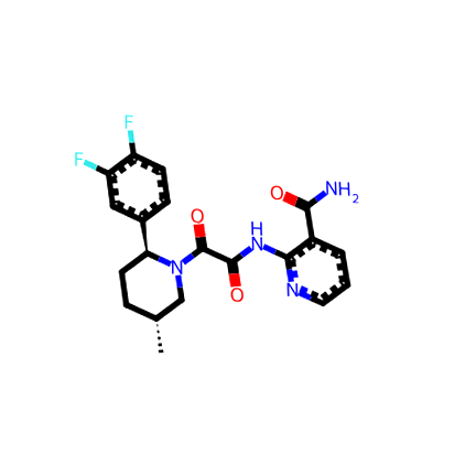 C[C@@H]1CC[C@@H](c2ccc(F)c(F)c2)N(C(=O)C(=O)Nc2ncccc2C(N)=O)C1